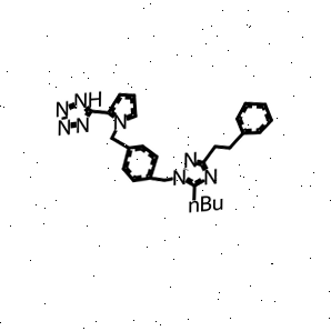 CCCCc1nc(CCc2ccccc2)nn1Cc1ccc(Cn2cccc2-c2nnn[nH]2)cc1